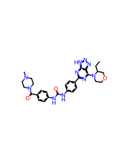 CCC1COCCN1c1nc(-c2ccc(NC(=O)Nc3ccc(C(=O)N4CCN(C)CC4)cc3)cc2)nc2[nH]nnc12